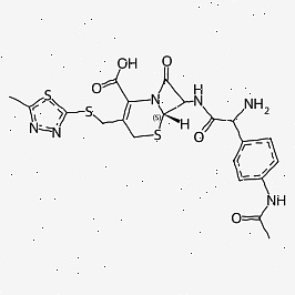 CC(=O)Nc1ccc(C(N)C(=O)NC2C(=O)N3C(C(=O)O)=C(CSc4nnc(C)s4)CS[C@@H]23)cc1